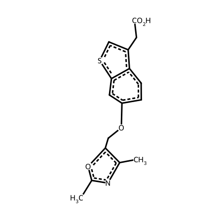 Cc1nc(C)c(COc2ccc3c(CC(=O)O)csc3c2)o1